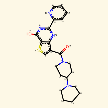 O=C(c1csc2c(O)nc(-c3ccccn3)nc12)N1CCC(N2CCCCC2)CC1